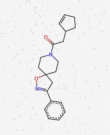 O=C(CC1C=CCC1)N1CCC2(CC1)CC(c1ccccc1)=NO2